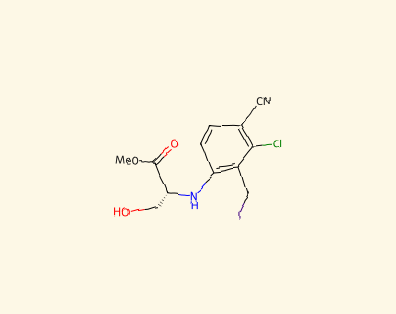 COC(=O)[C@@H](CO)Nc1ccc(C#N)c(Cl)c1CI